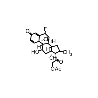 CC(=O)OCC(=O)[C@H]1C(C)C[C@H]2[C@@H]3CC(F)C4=CC(=O)C=C[C@]4(C)[C@H]3C(O)C[C@]12C